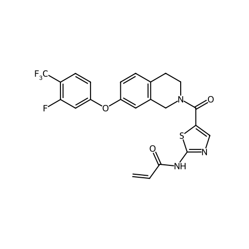 C=CC(=O)Nc1ncc(C(=O)N2CCc3ccc(Oc4ccc(C(F)(F)F)c(F)c4)cc3C2)s1